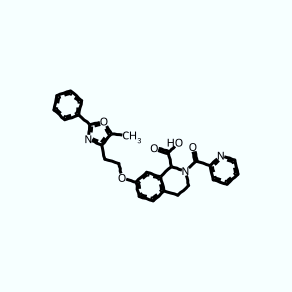 Cc1oc(-c2ccccc2)nc1CCOc1ccc2c(c1)C(C(=O)O)N(C(=O)c1ccccn1)CC2